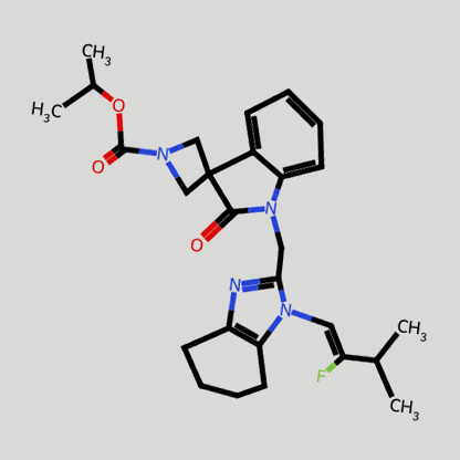 CC(C)OC(=O)N1CC2(C1)C(=O)N(Cc1nc3c(n1/C=C(\F)C(C)C)CCCC3)c1ccccc12